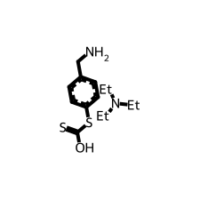 CCN(CC)CC.NCc1ccc(SC(O)=S)cc1